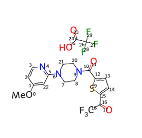 COc1ccnc(N2CCN(C(=O)c3ccc(C(=O)C(F)(F)F)s3)CC2)c1.O=C(O)C(F)(F)F